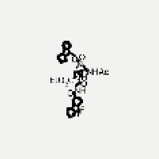 CCOC(=O)[C@@H]1C[C@]2(CN(CCNC(C)=O)C(=O)OCC3c4ccccc4-c4ccccc43)C[C@@H]2N1C(=O)CNC(=O)c1ccc2c(c1)-c1ccccc1C2(F)F